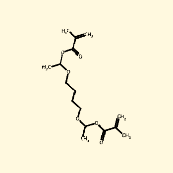 C=C(C)C(=O)OC(C)OCCCCOC(C)OC(=O)C(=C)C